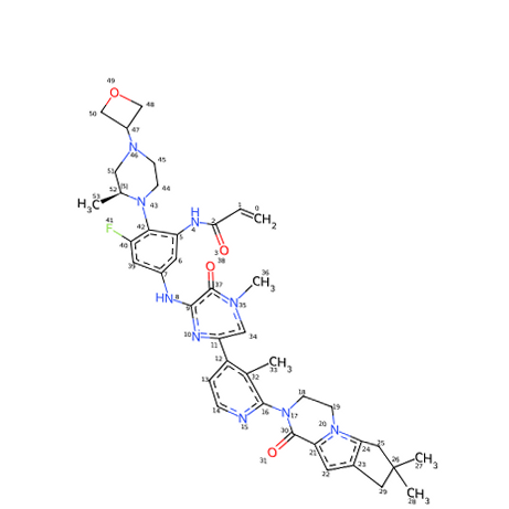 C=CC(=O)Nc1cc(Nc2nc(-c3ccnc(N4CCn5c(cc6c5CC(C)(C)C6)C4=O)c3C)cn(C)c2=O)cc(F)c1N1CCN(C2COC2)C[C@@H]1C